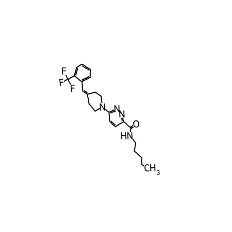 CCCCCNC(=O)c1ccc(N2CCC(=Cc3ccccc3C(F)(F)F)CC2)nn1